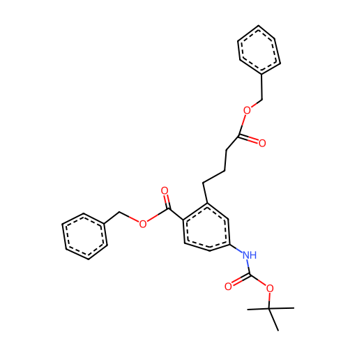 CC(C)(C)OC(=O)Nc1ccc(C(=O)OCc2ccccc2)c(CCCC(=O)OCc2ccccc2)c1